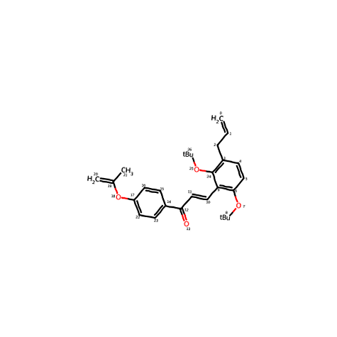 C=CCc1ccc(OC(C)(C)C)c(C=CC(=O)c2ccc(OC(=C)C)cc2)c1OC(C)(C)C